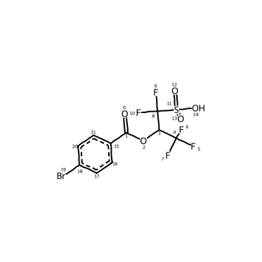 O=C(OC(C(F)(F)F)C(F)(F)S(=O)(=O)O)c1ccc(Br)cc1